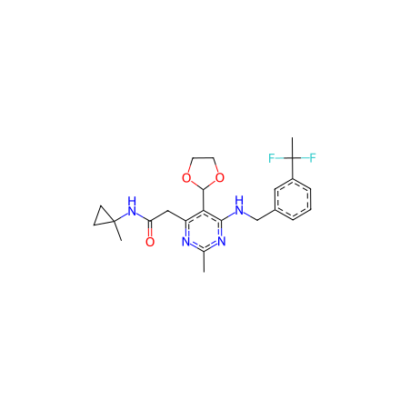 Cc1nc(CC(=O)NC2(C)CC2)c(C2OCCO2)c(NCc2cccc(C(C)(F)F)c2)n1